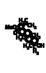 C=C(C)[C@@H]1CC[C@]2(C(=O)OC)CCC3C(CCC4[C@@]3(C)CCC3C(C)(C)[C@@H](O)CC[C@@]34C)C12